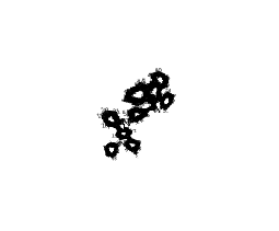 c1ccc(-n2c3ccccc3c3cc4c(cc32)c2ccccc2n4-c2ccc(-c3nc4ccccc4c4c5ccccc5c5ccccc5c34)cc2)cc1